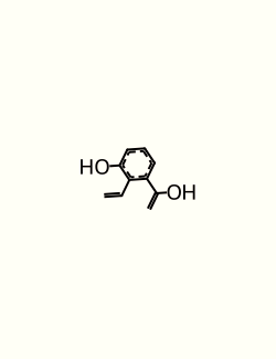 C=Cc1c(O)cccc1C(=C)O